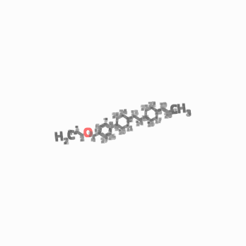 C=CCOCc1ccc(C2CCC(CCC3CCC(C=CC)CC3)CC2)cc1